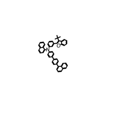 CC(C)(C)c1c(-c2cccc(N(c3ccc(-c4ccc(-c5cccc6ccccc56)cc4)cc3)c3cccc4ccccc34)c2)oc2ccccc12